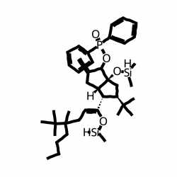 C=C1C[C@H]2[C@@H](C(=CCC(C)(CCCC)C(C)(C)C)O[SiH](C)C)[C@H](C(C)(C)C)C[C@@]2(O[SiH](C)C)C1OP(=O)(c1ccccc1)c1ccccc1